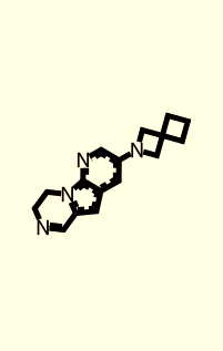 C1=NCCn2c1cc1cc(N3CC4(CCC4)C3)cnc12